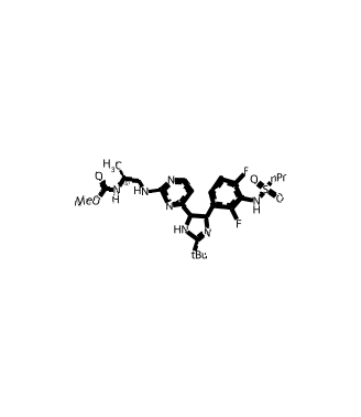 CCCS(=O)(=O)Nc1c(F)ccc(C2N=C(C(C)(C)C)NC2c2ccnc(NC[C@H](C)NC(=O)OC)n2)c1F